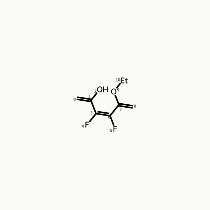 C=C(O)/C(F)=C(/F)C(=C)OCC